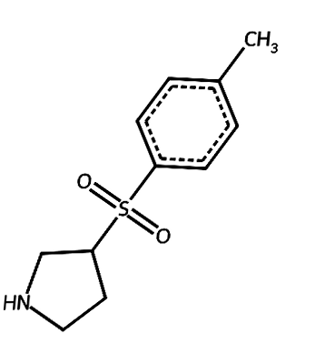 Cc1ccc(S(=O)(=O)C2CCNC2)cc1